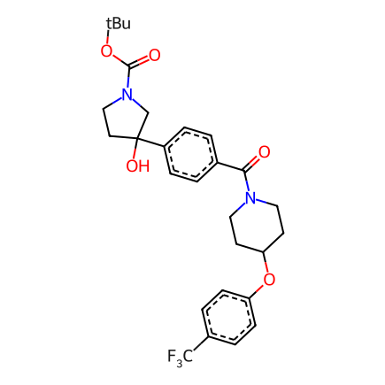 CC(C)(C)OC(=O)N1CCC(O)(c2ccc(C(=O)N3CCC(Oc4ccc(C(F)(F)F)cc4)CC3)cc2)C1